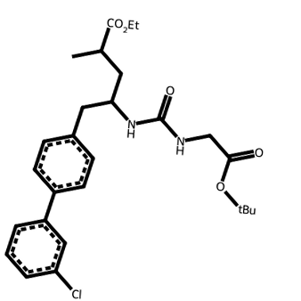 CCOC(=O)C(C)CC(Cc1ccc(-c2cccc(Cl)c2)cc1)NC(=O)NCC(=O)OC(C)(C)C